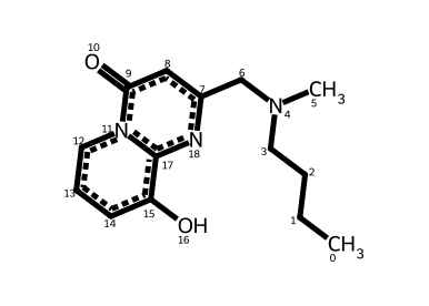 CCCCN(C)Cc1cc(=O)n2cccc(O)c2n1